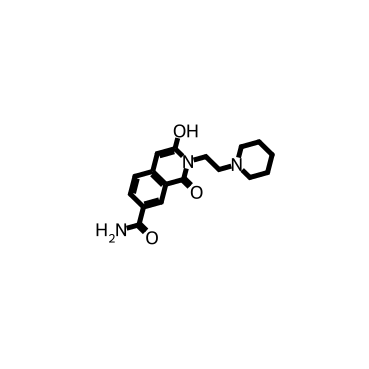 NC(=O)c1ccc2cc(O)n(CCN3CCCCC3)c(=O)c2c1